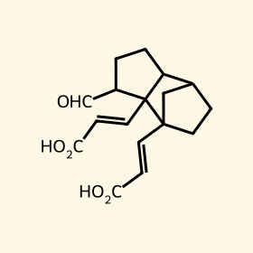 O=CC1CCC2C3CCC(C=CC(=O)O)(C3)C12C=CC(=O)O